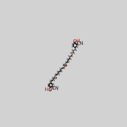 N#Cc1cc(CCCSCCCCCCSSCCCCCCSCCCc2ccc(O)c(C#N)c2)ccc1O